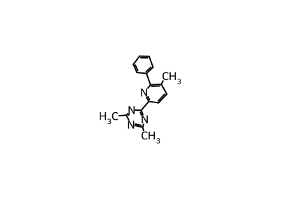 Cc1nc(C)nc(-c2ccc(C)c(-c3ccccc3)n2)n1